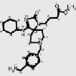 COC(=O)CCCN1C(=O)N=C(NC2CCCCC2)C12CCN(Cc1ccc(CN)cc1)CC2